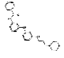 O=C(Nc1cccc(Nc2nccc(NCCCN3CCOCC3)n2)c1)c1ccccc1